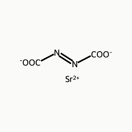 O=C([O-])N=NC(=O)[O-].[Sr+2]